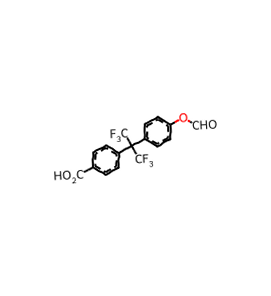 O=COc1ccc(C(c2ccc(C(=O)O)cc2)(C(F)(F)F)C(F)(F)F)cc1